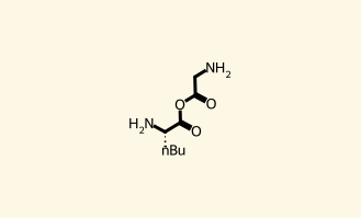 CCCC[C@H](N)C(=O)OC(=O)CN